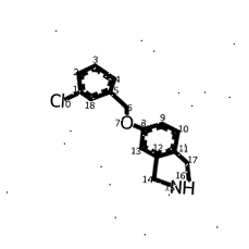 Clc1cccc(COc2ccc3c(c2)CNCC3)c1